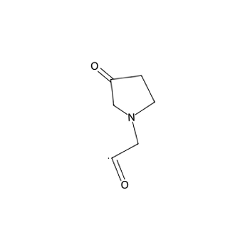 O=[C]CN1CCC(=O)C1